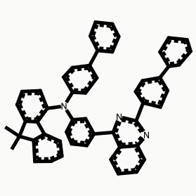 CC1(C)c2ccccc2-c2c(N(c3ccc(-c4ccccc4)cc3)c3cccc(-c4nc(-c5ccc(-c6ccccc6)cc5)nc5ccccc45)c3)cccc21